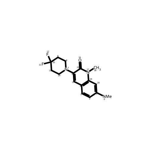 CNc1ccc2cc(N3CCC(F)(F)CC3)c(=O)n(C)c2c1